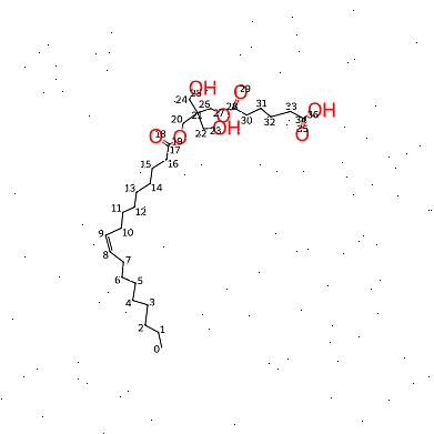 CCCCCCCC/C=C\CCCCCCCC(=O)OCC(CO)(CO)COC(=O)CCCCC(=O)O